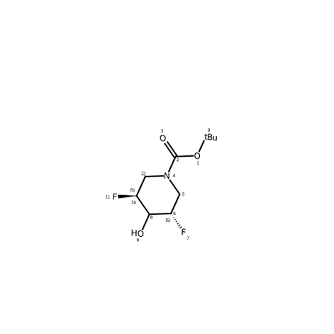 CC(C)(C)OC(=O)N1C[C@H](F)C(O)[C@@H](F)C1